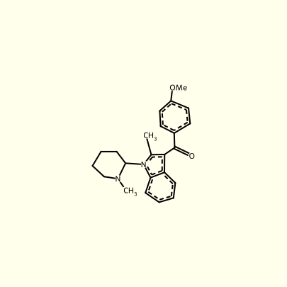 COc1ccc(C(=O)c2c(C)n(C3CCCCN3C)c3ccccc23)cc1